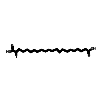 O=C(O)CCCCCCCCCCCCCCCCCCCC(I)C(=O)O